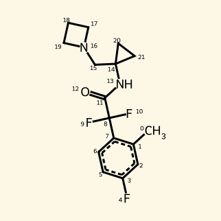 Cc1cc(F)ccc1C(F)(F)C(=O)NC1(CN2CCC2)CC1